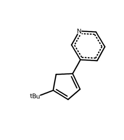 CC(C)(C)C1=CC=C(c2cccnc2)C1